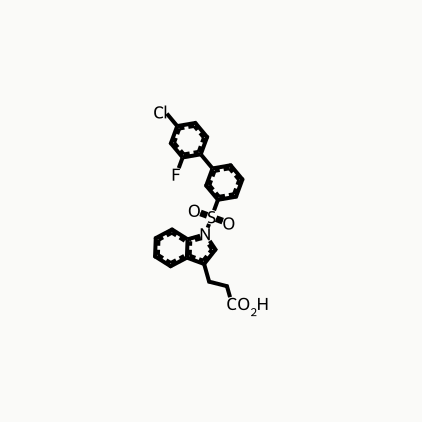 O=C(O)CCc1cn(S(=O)(=O)c2cccc(-c3ccc(Cl)cc3F)c2)c2ccccc12